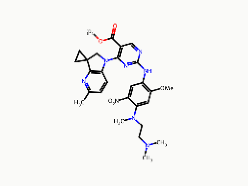 COc1cc(N(C)CCN(C)C)c([N+](=O)[O-])cc1Nc1ncc(C(=O)OC(C)C)c(N2CC3(CC3)c3nc(C)ccc32)n1